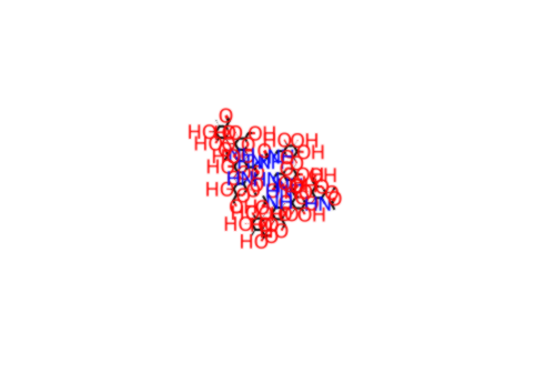 CO[C@@H]1OC(CO)[C@@H](O)[C@H](O[C@@H]2OC(C(=O)NNC(=O)NCC3O[C@H](O[C@H]4OC(CNC(=O)NNC(=O)C5O[C@@H](O[C@@H]6C(NC(C)=O)[C@H](OC)OC(CO)[C@H]6O)C(O)[C@@H](O)[C@@H]5O[C@@H]5OC(CO)[C@@H](O)[C@H](O[C@@H]6OC(C(=O)O)[C@@H](C)[C@H](O)C6O)C5NC(C)=O)[C@@H](O)[C@H](O)C4O)C(O)[C@@H](O)[C@@H]3O)[C@@H](O[C@@H]3OC(CO)[C@@H](O)[C@H](O[C@@H]4OC(C=O)[C@@H](C)[C@H](O)C4O)C3NC(C)=O)[C@H](O)C2O)C1NC(C)=O